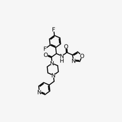 O=C(NC(C(=O)N1CCN(Cc2ccncc2)CC1)c1ccc(F)cc1F)c1cocn1